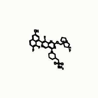 NS(=O)(=O)CC1CCCN(c2nc(OC[C@@]34CCCN3C[C@H](F)C4)nc3c(F)c(-c4cc(O)cc5ccc(F)c(F)c45)ncc23)C1